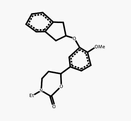 CCN1CCC(c2ccc(OC)c(OC3Cc4ccccc4C3)c2)OC1=O